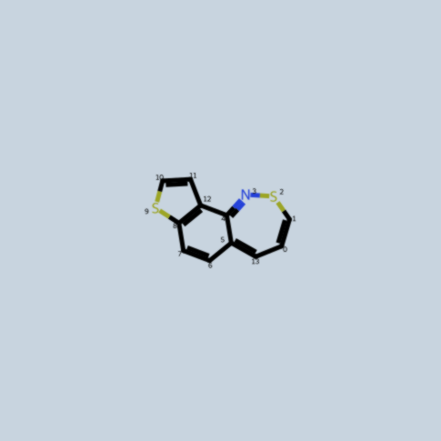 C1=CSN=c2c(ccc3sccc23)=C1